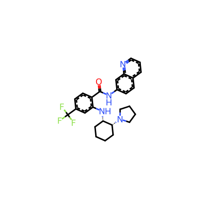 O=C(Nc1ccc2cccnc2c1)c1ccc(C(F)(F)F)cc1N[C@H]1CCCC[C@H]1N1CCCC1